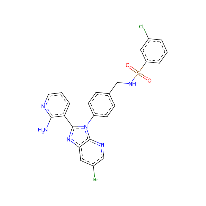 Nc1ncccc1-c1nc2cc(Br)cnc2n1-c1ccc(CNS(=O)(=O)c2cccc(Cl)c2)cc1